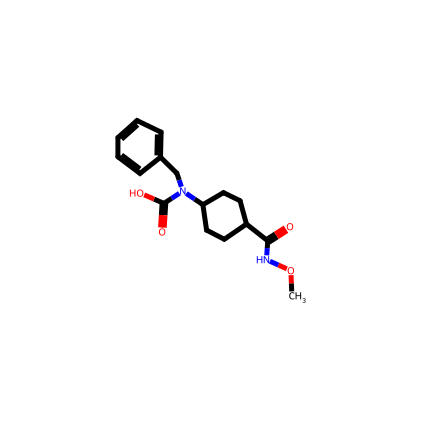 CONC(=O)C1CCC(N(Cc2ccccc2)C(=O)O)CC1